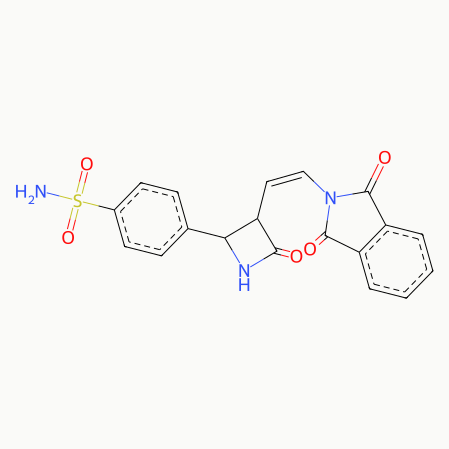 NS(=O)(=O)c1ccc(C2NC(=O)C2/C=C\N2C(=O)c3ccccc3C2=O)cc1